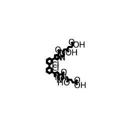 O=C(O)CCC(O)Cn1cnn2cc(-c3cccc(-c4cccc(-c5cc6c(=O)n(CC(O)CCC(=O)O)cnn6c5)c4Cl)c3Cl)cc2c1=O